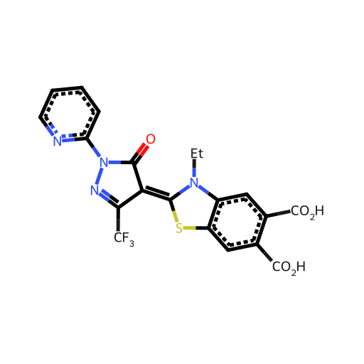 CCN1/C(=C2\C(=O)N(c3ccccn3)N=C2C(F)(F)F)Sc2cc(C(=O)O)c(C(=O)O)cc21